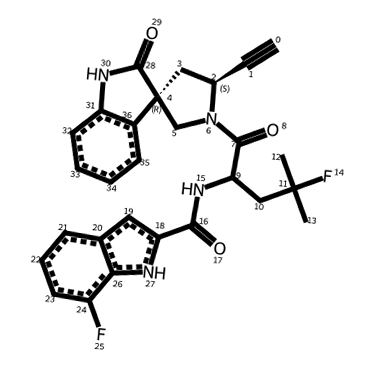 C#C[C@@H]1C[C@@]2(CN1C(=O)C(CC(C)(C)F)NC(=O)c1cc3cccc(F)c3[nH]1)C(=O)Nc1ccccc12